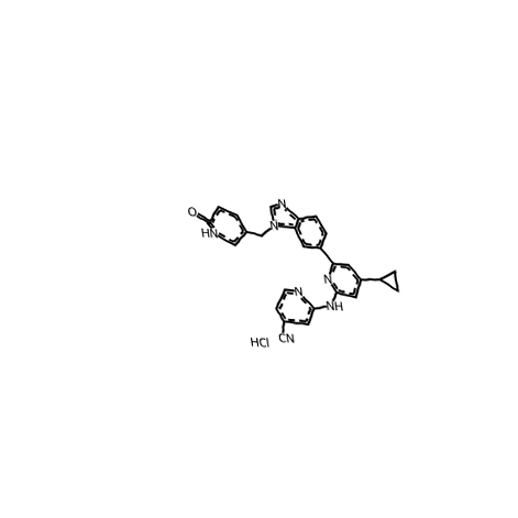 Cl.N#Cc1ccnc(Nc2cc(C3CC3)cc(-c3ccc4ncn(Cc5ccc(=O)[nH]c5)c4c3)n2)c1